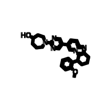 COc1ccccc1C1CCCc2nc3ccc(-c4cnc(N5CCCC(O)CC5)nc4)cn3c21